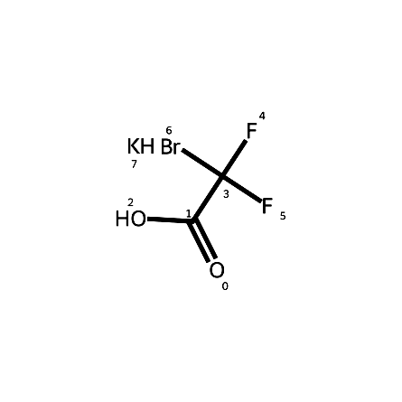 O=C(O)C(F)(F)Br.[KH]